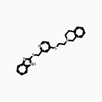 c1ccc2c(c1)CCN(CCSc1ccnc(CSc3nc4ccccc4[nH]3)c1)C2